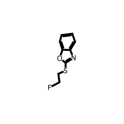 FCCSc1nc2ccccc2o1